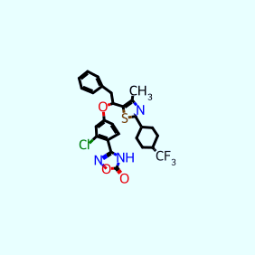 Cc1nc(C2CCC(C(F)(F)F)CC2)sc1C(Cc1ccccc1)Oc1ccc(-c2noc(=O)[nH]2)c(Cl)c1